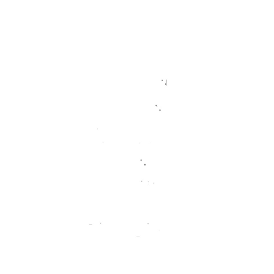 CCc1ccc(C2(CCN3CCN(C4CCCCC4)CC3)CCN(C(=O)Cc3cc(C(F)(F)F)cc(C(F)(F)F)c3)C2)cc1CC